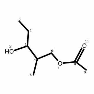 CCC(O)C(C)COC(C)=O